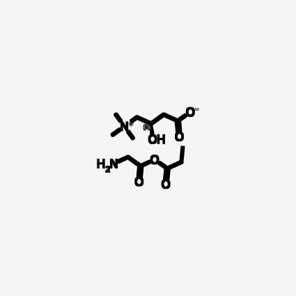 CCC(=O)OC(=O)CN.C[N+](C)(C)C[C@H](O)CC(=O)[O-]